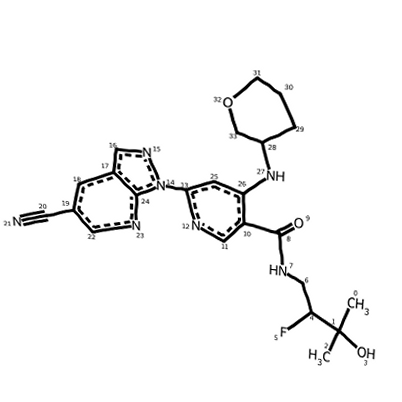 CC(C)(O)C(F)CNC(=O)c1cnc(-n2ncc3cc(C#N)cnc32)cc1NC1CCCOC1